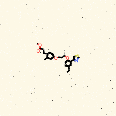 CCc1ccc(O[C@@H](C)CCOc2ccc(CCC(=O)OC)c(C)c2)c(-c2cscn2)c1